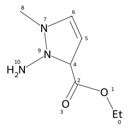 CCOC(=O)C1C=CN(C)N1N